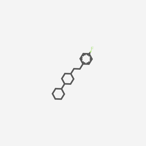 Fc1ccc(CCC2CCC(C3CCCCC3)CC2)cc1